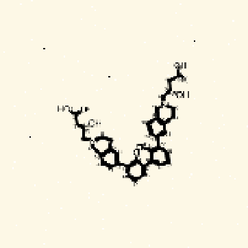 O=C(O)C[C@H](O)CN1CCc2cc(-c3cccc(-c4cccc(-c5ccc6c(c5)CCN(C[C@@H](O)CC(=O)O)C6)c4Cl)c3Cl)ccc2C1